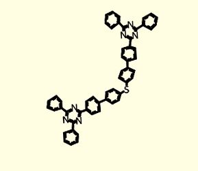 c1ccc(-c2nc(-c3ccccc3)nc(-c3ccc(-c4ccc(Sc5ccc(-c6ccc(-c7nc(-c8ccccc8)nc(-c8ccccc8)n7)cc6)cc5)cc4)cc3)n2)cc1